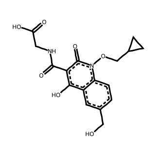 O=C(O)CNC(=O)c1c(O)c2cc(CO)ccc2n(OCC2CC2)c1=O